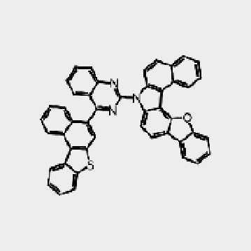 c1ccc2c(c1)ccc1c2c2c3oc4ccccc4c3ccc2n1-c1nc(-c2cc3sc4ccccc4c3c3ccccc23)c2ccccc2n1